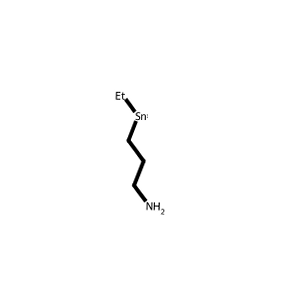 C[CH2][Sn][CH2]CCN